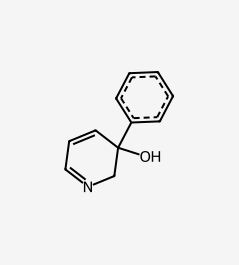 OC1(c2ccccc2)C=CC=NC1